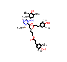 CCCCCCCCSN1CN(Nc2cc(C(C)(C)C)c(O)c(C(C)(C)C)c2)C(C(CCCCCOC(=O)CCc2cc(C(C)(C)C)c(O)c(C(C)(C)C)c2)OC(=O)CCc2cc(C(C)(C)C)c(O)c(C(C)(C)C)c2)N(SCCCCCCCC)C1